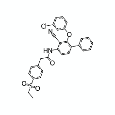 CCS(=O)(=O)c1ccc(CC(=O)Nc2ccc(-c3ccccc3)c(Oc3cccc(Cl)c3)c2C#N)cc1